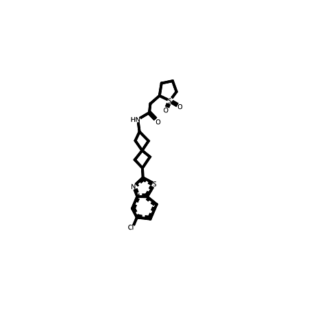 O=C(CC1CCCS1(=O)=O)NC1CC2(C1)CC(c1nc3cc(Cl)ccc3s1)C2